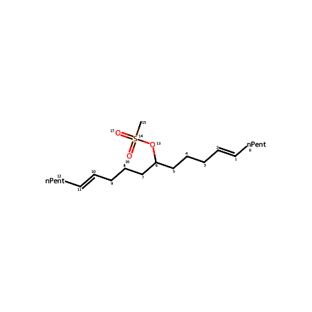 CCCCCC=CCCCC(CCCC=CCCCCC)OS(C)(=O)=O